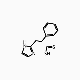 S=CS.c1ccc(CCc2ncc[nH]2)cc1